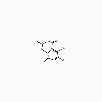 CCc1cc(C)c2c(c1O)C(=O)O[C@H](C)C2